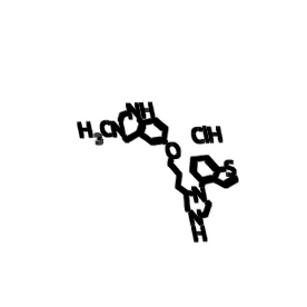 CN1CNc2ccc(OCCCC3CNCCN3c3cccc4sccc34)cc2C1.Cl